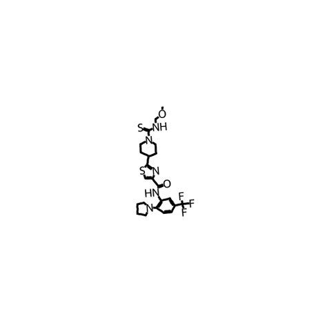 COCNC(=S)N1CCC(c2nc(C(=O)Nc3cc(C(F)(F)F)ccc3N3CCCC3)cs2)CC1